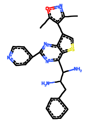 Cc1noc(C)c1-c1csc2c(C(N)C(N)Cc3ccccc3)nc(-c3ccncc3)nc12